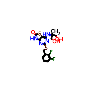 CC(CO)(CO)Nc1nc(SCc2cccc(F)c2F)nc2[nH]c(=O)sc12